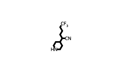 N#CC(CCCC(F)(F)F)C1CCNCC1